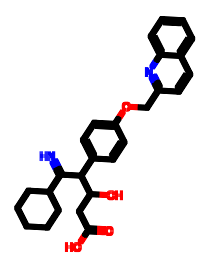 N=C(C1CCCCC1)C(c1ccc(OCc2ccc3ccccc3n2)cc1)C(O)CC(=O)O